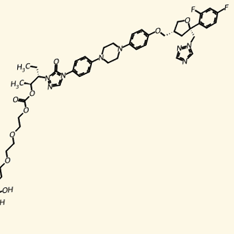 CC[C@@H]([C@H](C)OC(=O)OCCOCCOCCOP(=O)(O)O)n1ncn(-c2ccc(N3CCN(c4ccc(OC[C@@H]5CO[C@@](Cn6cncn6)(c6ccc(F)cc6F)C5)cc4)CC3)cc2)c1=O